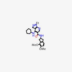 CCn1ncc2c(NC3CCCCC3)c(C(=O)NC3Cc4ccc(OC)c(OC)c4C3)cnc21